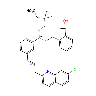 CC(C)(O)c1ccccc1CC[C@@H](SCC1(CC(=O)O)CC1)c1cccc(/C=C/Cc2ccc3ccc(Cl)cc3n2)c1